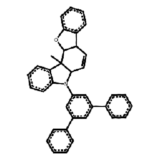 CC12c3ccccc3N(c3cc(-c4ccccc4)cc(-c4ccccc4)c3)C1C=CC1c3ccccc3OC12